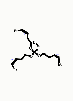 CC/C=C\CCOC(OCC)(OCC/C=C\CC)OCC/C=C\CC